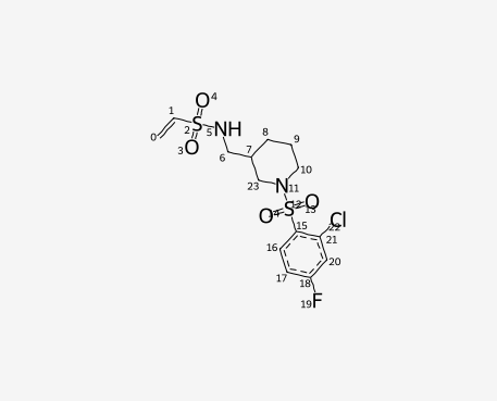 C=CS(=O)(=O)NCC1CCCN(S(=O)(=O)c2ccc(F)cc2Cl)C1